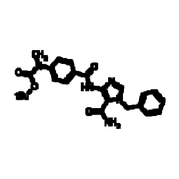 CN(C(=O)OC(C)(C)C)c1ccc(C(=O)Nc2ncn(Cc3ccccc3)c2C(N)=O)cc1